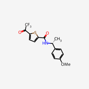 COc1ccc([C@@H](C)NC(=O)c2ccc(C(=O)C(F)(F)F)s2)cc1